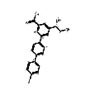 NC(=O)c1cc([C@H](O)CO)cc(-c2ccc(-c3ccc(F)cc3)cc2)n1